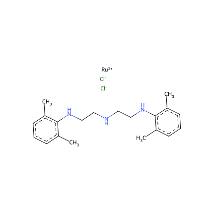 Cc1cccc(C)c1NCCNCCNc1c(C)cccc1C.[Cl-].[Cl-].[Ru+2]